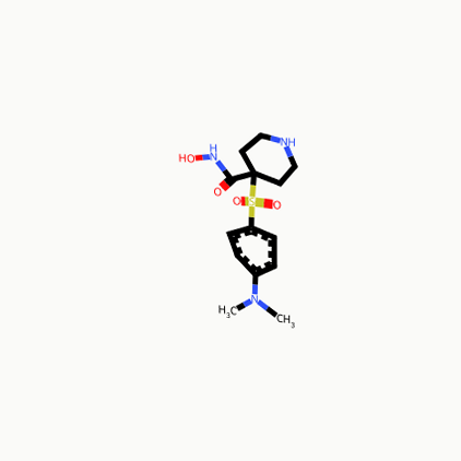 CN(C)c1ccc(S(=O)(=O)C2(C(=O)NO)CCNCC2)cc1